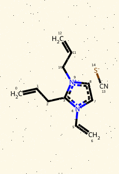 C=CCc1n(C=C)cc[n+]1CC=C.N#C[S-]